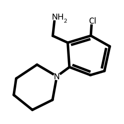 NCc1c(Cl)cccc1N1CCCCC1